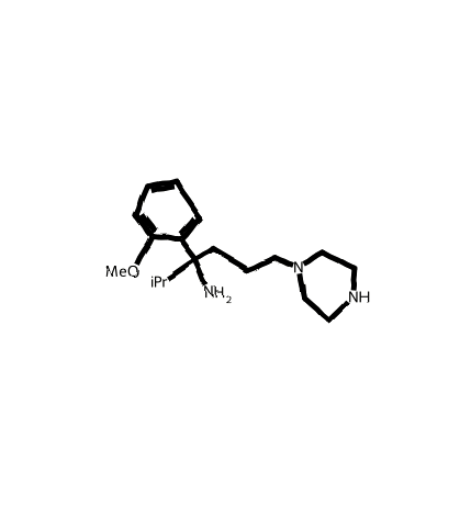 COc1ccccc1C(N)(CCCN1CCNCC1)C(C)C